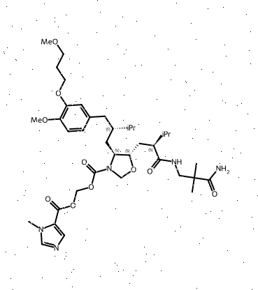 COCCCOc1cc(C[C@@H](C[C@H]2[C@H](C[C@H](C(=O)NCC(C)(C)C(N)=O)C(C)C)OCN2C(=O)OCOC(=O)c2cncn2C)C(C)C)ccc1OC